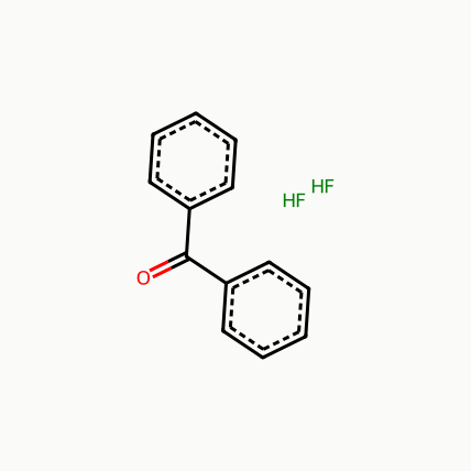 F.F.O=C(c1ccccc1)c1ccccc1